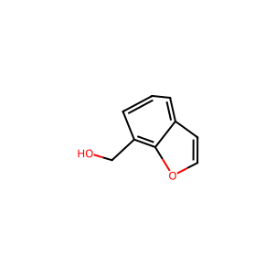 OCc1cccc2ccoc12